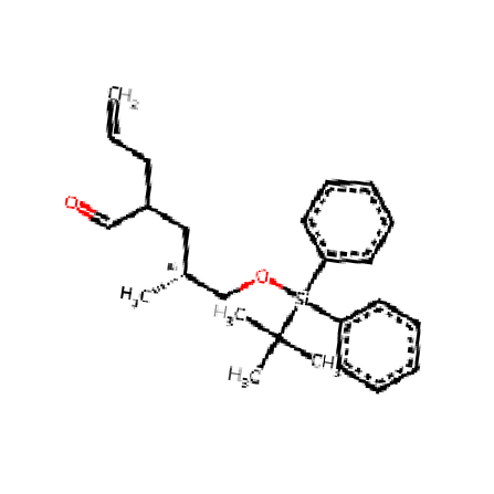 C=CCC(C=O)C[C@@H](C)CO[Si](c1ccccc1)(c1ccccc1)C(C)(C)C